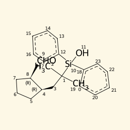 CC(C)(C[C@H]1CCC[C@H]1C=O)[Si](O)(c1ccccc1)c1ccccc1